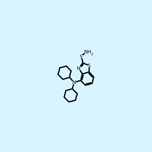 NSc1nc2c(N(C3CCCCC3)C3CCCCC3)cccc2s1